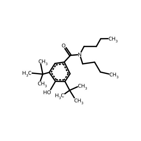 CCCCN(CCCC)C(=O)c1cc(C(C)(C)C)c(O)c(C(C)(C)C)c1